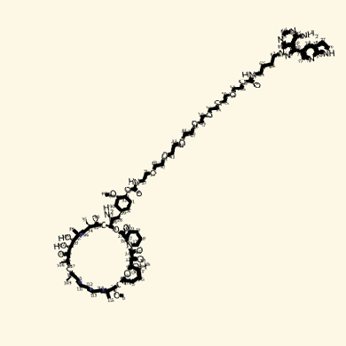 CO[C@H]1C[C@@H]2CC[C@@H](C)[C@@](O)(O2)C(=O)C(=O)N2CCCC[C@H]2C(=O)O[C@H]([C@H](N)C[C@@H]2CC[C@@H](OC(=O)NCCOCCOCCOCCOCCOCCOCCOCCOC(=O)NCCCCn3nc(-c4cnc5[nH]ccc5c4)c4c(N)ncnc43)[C@H](OC)C2)CC(=O)[C@H](C)/C=C(\C)[C@@H](O)[C@@H](O)C(=O)[C@H](C)C[C@H](C)/C=C/C=C/C=C/1C